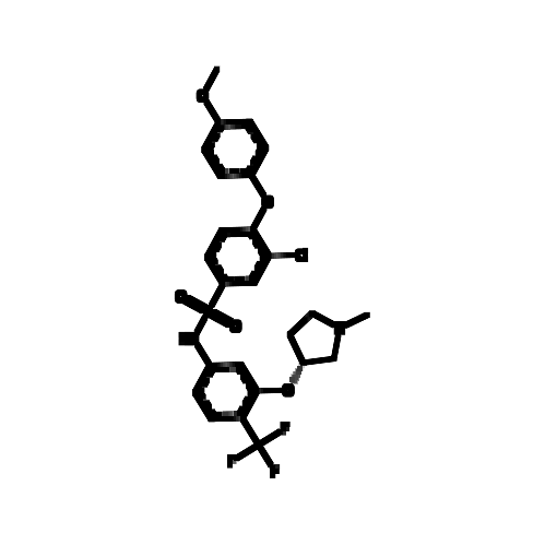 COc1ccc(Oc2ccc(S(=O)(=O)Nc3ccc(C(F)(F)F)c(O[C@@H]4CCN(C)C4)c3)cc2Cl)cc1